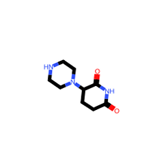 O=C1CCC(N2CCNCC2)C(=O)N1